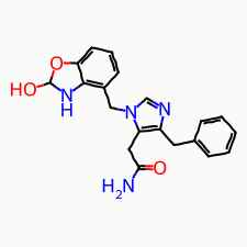 NC(=O)Cc1c(Cc2ccccc2)ncn1Cc1cccc2c1NC(O)O2